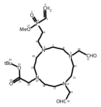 C=CP(=O)(CCN1CCN(CC=O)CCN(CC=O)CCN(CC(=O)OC(C)(C)C)CC1)OC